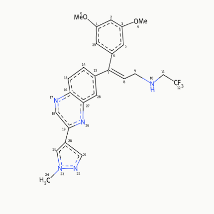 COc1cc(OC)cc(C(=CCNCC(F)(F)F)c2ccc3ncc(-c4cnn(C)c4)nc3c2)c1